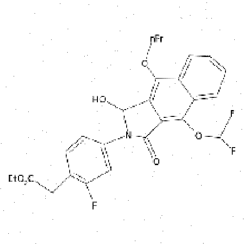 CCCOc1c2c(c(OC(F)F)c3ccccc13)C(=O)N(c1ccc(CC(=O)OCC)c(F)c1)C2O